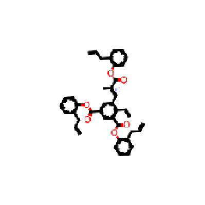 C=CCc1ccccc1OC(=O)/C(C)=C/c1cc(C(=O)Oc2ccccc2CC=C)cc(C(=O)Oc2ccccc2CC=C)c1C=C